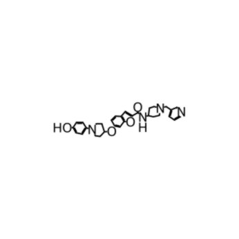 O=C(NC1CCN(Cc2cccnc2)CC1)c1cc2ccc(OC3CCN(c4ccc(O)cc4)CC3)cc2o1